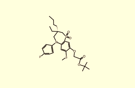 CCCC[C@@]1(CC)CN(c2ccc(F)cc2)c2cc(SC)c(OCC(=O)OC(C)(C)C)cc2S(=O)(=O)C1